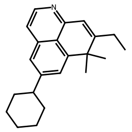 CCC1=Cc2nccc3cc(C4CCCCC4)cc(c23)C1(C)C